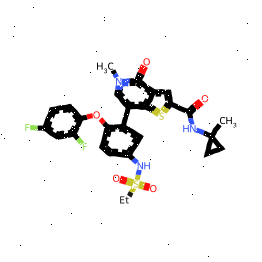 CCS(=O)(=O)Nc1ccc(Oc2ccc(F)cc2F)c(-c2cn(C)c(=O)c3cc(C(=O)NC4(C)CC4)sc23)c1